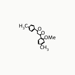 COc1cc(C)ccc1C(=O)CC(=O)c1ccc(C)cc1